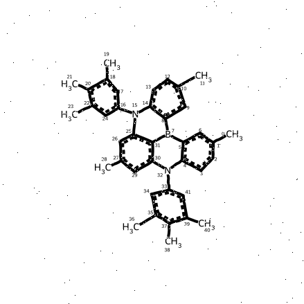 Cc1ccc2c(c1)B1c3cc(C)ccc3N(c3cc(C)c(C)c(C)c3)c3cc(C)cc(c31)N2c1cc(C)c(C)c(C)c1